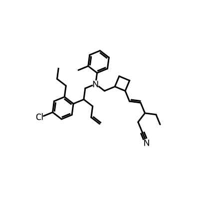 C=CCC(CN(CC1CCC1/C=C/C(CC)CC#N)c1ccccc1C)c1ccc(Cl)cc1CCC